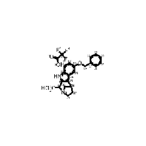 O=C(O)C(F)(F)F.O=C(O)C1c2[nH]c3ccc(OCc4ccccc4)cc3c2C2CCN1C2